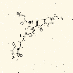 CCC(=O)NC(CC(=O)NCCCN1C(=O)CC(C)C1=O)C(=O)NC(=O)c1ccc(CC)cc1